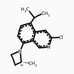 CC(C)c1ccc(N2C[CH][C@H]2C)c2cnc(Cl)cc12